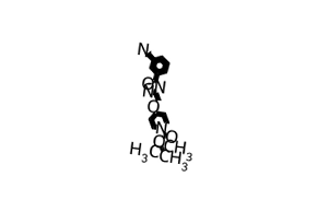 CC(C)(C)OC(=O)N1CCC(OCc2noc(-c3cccc(C#N)c3)n2)CC1